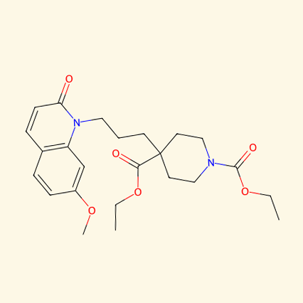 CCOC(=O)N1CCC(CCCn2c(=O)ccc3ccc(OC)cc32)(C(=O)OCC)CC1